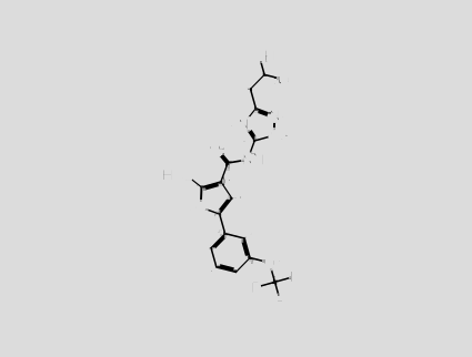 Cc1oc(-c2cccc(OC(F)(F)F)c2)cc1C(=O)Nc1nc(CC(C)O)ns1